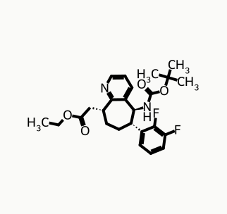 CCOC(=O)C[C@H]1CC[C@@H](c2cccc(F)c2F)[C@H](NC(=O)OC(C)(C)C)c2cccnc21